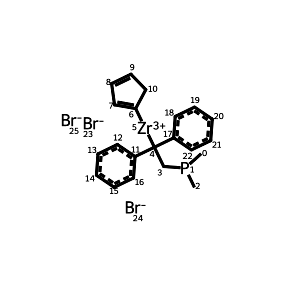 CP(C)C[C]([Zr+3][C]1=CC=CC1)(c1ccccc1)c1ccccc1.[Br-].[Br-].[Br-]